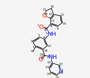 Cc1ccc(NC(=O)c2cccc3c2OCC3)cc1C(=O)Nc1cccnc1